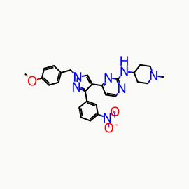 COc1ccc(Cn2cc(-c3ccnc(NC4CCN(C)CC4)n3)c(-c3cccc([N+](=O)[O-])c3)n2)cc1